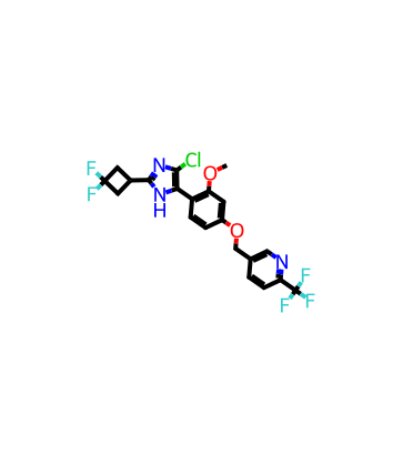 COc1cc(OCc2ccc(C(F)(F)F)nc2)ccc1-c1[nH]c(C2CC(F)(F)C2)nc1Cl